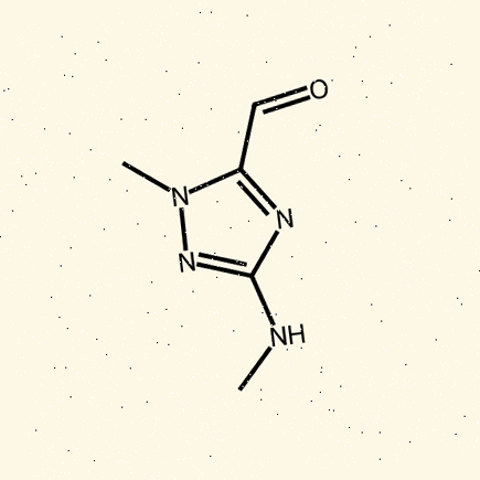 CNc1nc(C=O)n(C)n1